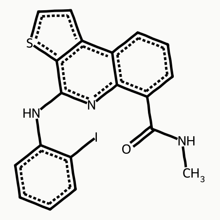 CNC(=O)c1cccc2c1nc(Nc1ccccc1I)c1sccc12